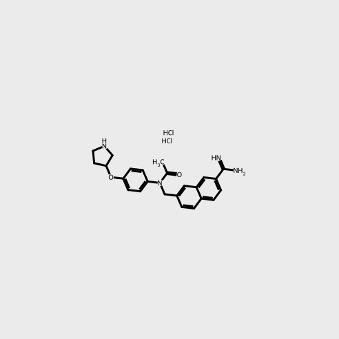 CC(=O)N(Cc1ccc2ccc(C(=N)N)cc2c1)c1ccc(OC2CCNC2)cc1.Cl.Cl